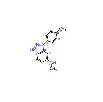 CNc1ccc2[nH]nc(-c3ccc(C)cc3)c2c1